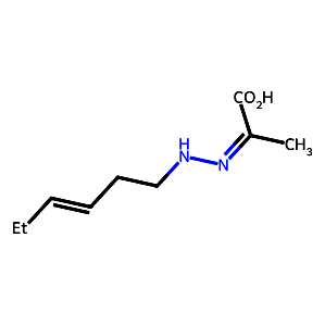 CC/C=C/CCN/N=C(/C)C(=O)O